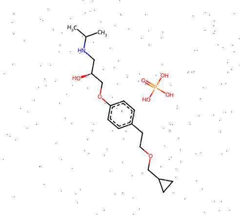 CC(C)NC[C@H](O)COc1ccc(CCOCC2CC2)cc1.O=P(O)(O)O